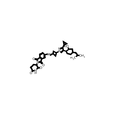 CC(C)CC1CCC(c2cn(C3CC(CNc4ccc5c(c4)C(=O)N(C4CCC(=O)NC4=O)C5=O)C3)nc2C2CC2)C(O)C1